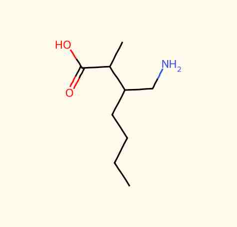 CCCCC(CN)C(C)C(=O)O